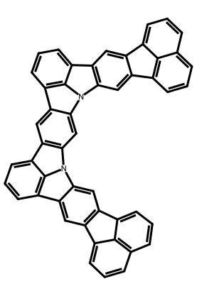 c1cc2cccc3c4cc5c(cc4c(c1)c23)c1cccc2c3cc4c6cccc7c8cc9c(cc8n(c4cc3n5c12)c76)c1cccc2cccc9c21